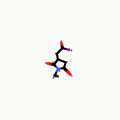 CC(=O)ON1C(=O)CC(CC(=O)I)C1=O